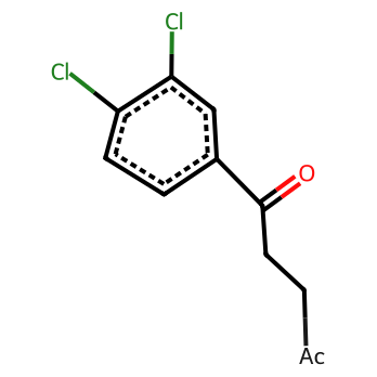 CC(=O)CCC(=O)c1ccc(Cl)c(Cl)c1